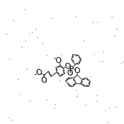 COC(=O)/C=C/c1ccc(O[P@@](=O)(OC2c3ccccc3-c3ccccc32)c2ccccc2)c(OC)c1